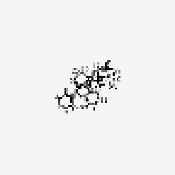 Cc1ccccc1-n1c2ccccc2c2c(B3CC(C)(C)C(C)(C)O3)cccc21